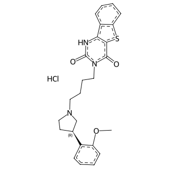 COc1ccccc1[C@H]1CCN(CCCCn2c(=O)[nH]c3c(sc4ccccc43)c2=O)C1.Cl